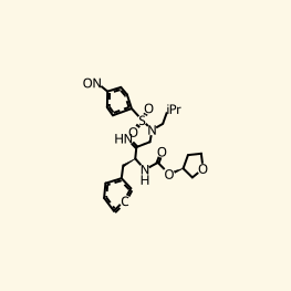 CC(C)CN(CC(=N)[C@H](Cc1ccccc1)NC(=O)O[C@H]1CCOC1)S(=O)(=O)c1ccc(N=O)cc1